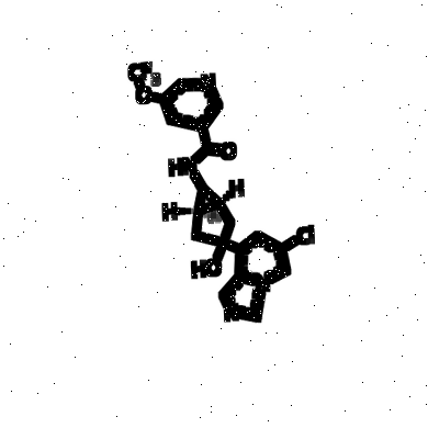 O=C(NC1[C@H]2CC(O)(c3cc(Cl)cn4cncc34)C[C@@H]12)c1cncc(OC(F)(F)F)c1